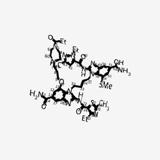 CCC(=O)N1CCN(CCCOc2cc(C(N)=O)cc3nc(NC(=O)c4sc(C)nc4CC)n(C/C=C/Cn4c(NC(=O)c5cc(C)nn5CC)nc5cc(C(N)O)cc(SC)c54)c23)CC1